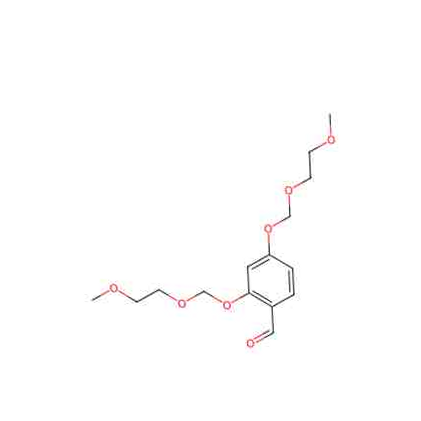 COCCOCOc1ccc(C=O)c(OCOCCOC)c1